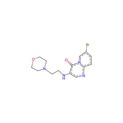 O=c1c(NCCN2CCOCC2)cnc2ccc(Br)cn12